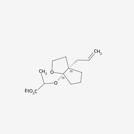 C=CC[C@]12CCC[C@@]1(OC(C)C(=O)OCC)OCC2